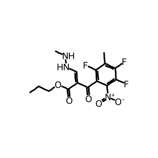 CCCOC(=O)C(=CNNC)C(=O)c1c(F)c(C)c(F)c(F)c1[N+](=O)[O-]